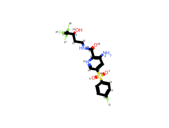 Nc1cc(S(=O)(=O)c2ccc(F)cc2)cnc1C(=O)NCCC(O)C(F)(F)F